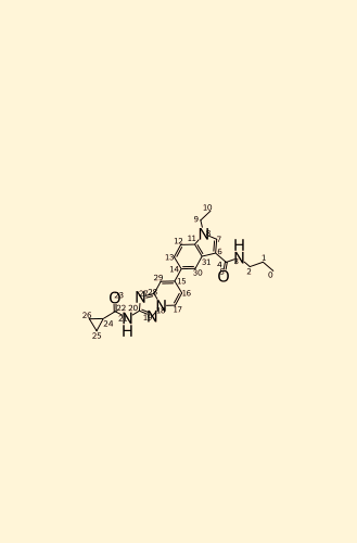 CCCNC(=O)c1cn(CC)c2ccc(-c3ccn4nc(NC(=O)C5CC5)nc4c3)cc12